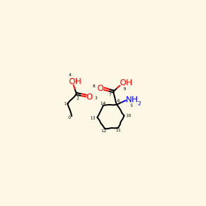 CCC(=O)O.NC1(C(=O)O)CCCCC1